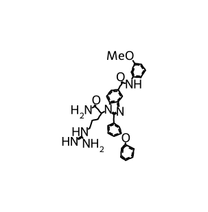 COc1cccc(NC(=O)c2ccc3c(c2)nc(-c2cccc(Oc4ccccc4)c2)n3C(CCCNC(=N)N)C(N)=O)c1